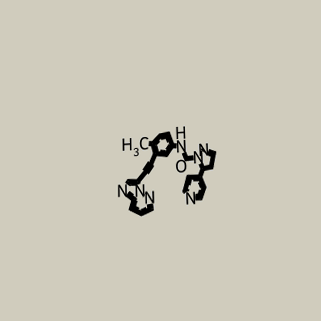 Cc1ccc(NC(=O)N2N=CCC2c2ccncc2)cc1C#Cc1cnc2cccnn12